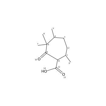 CC1CCC(C)C(C)(C)C(=O)C1C(=O)O